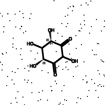 O=C1C(O)C(=O)[C@H](O)C(O)[C@@H]1O